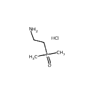 CP(C)(=O)CCN.Cl